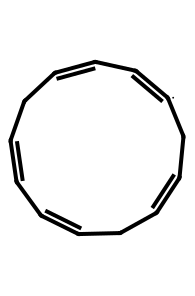 [C]1=CC=CCC=CC=CCC=CC1